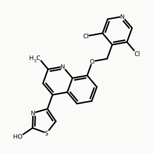 Cc1cc(-c2csc(O)n2)c2cccc(OCc3c(Cl)cncc3Cl)c2n1